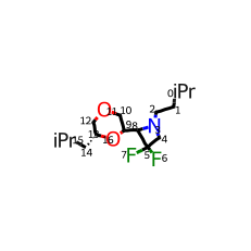 CC(C)CCN1CC(F)(F)C1C1COC[C@@H](CC(C)C)O1